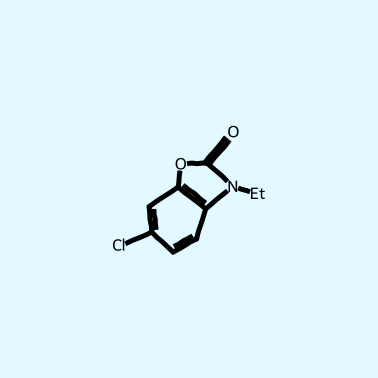 CCn1c(=O)oc2cc(Cl)ccc21